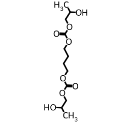 CC(O)COC(=O)OCCCCOC(=O)OCC(C)O